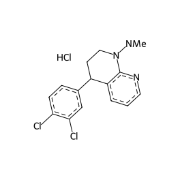 CNN1CCC(c2ccc(Cl)c(Cl)c2)c2cccnc21.Cl